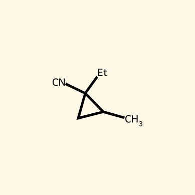 [C-]#[N+]C1(CC)CC1C